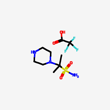 CC(C)(N1CCNCC1)S(N)(=O)=O.O=C(O)C(F)(F)F